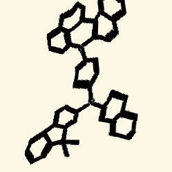 CC1(C)c2ccccc2-c2ccc(N(c3ccc(N4c5ccc6ccccc6c5-c5cccc6cccc4c56)cc3)c3ccc4ccccc4c3)cc21